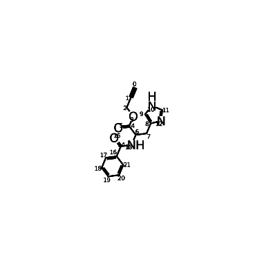 C#CCOC(=O)C(Cc1c[nH]cn1)NC(=O)c1ccccc1